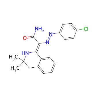 CC1(C)Cc2ccccc2C(=C(N=Nc2ccc(Cl)cc2)C(N)=O)N1